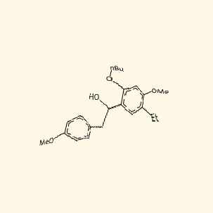 CCCCOc1cc(OC)c(CC)cc1C(O)Cc1ccc(OC)cc1